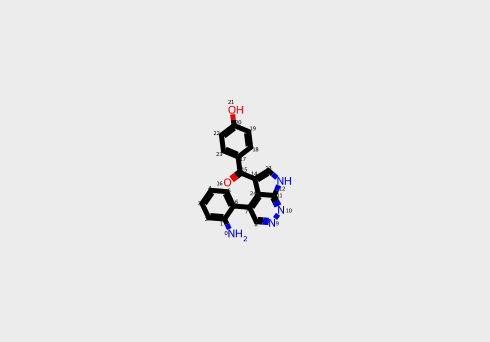 Nc1ccccc1-c1cnnc2[nH]cc(C(=O)c3ccc(O)cc3)c12